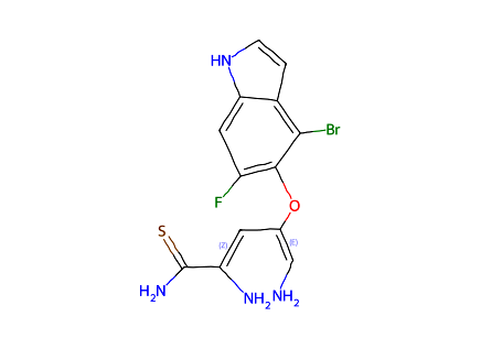 N/C=C(\C=C(/N)C(N)=S)Oc1c(F)cc2[nH]ccc2c1Br